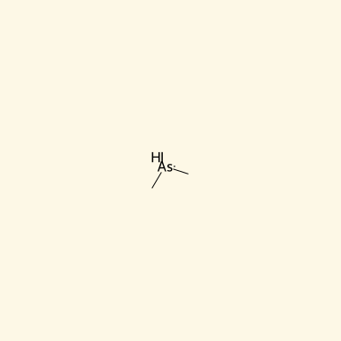 C[As]C.I